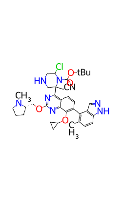 Cc1ccc2[nH]ncc2c1-c1ccc2c(C3(CC#N)CNCC(Cl)N3C(=O)OC(C)(C)C)nc(OC[C@@H]3CCCN3C)nc2c1OC1CC1